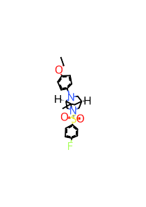 CCOc1ccc(N2C[C@H]3CN(S(=O)(=O)c4ccc(F)cc4)C[C@@H]2C(C)(C)C3)cc1